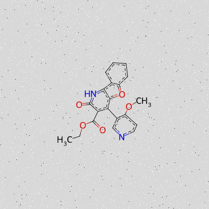 CCOC(=O)c1c(-c2cnccc2OC)c2oc3ccccc3c2[nH]c1=O